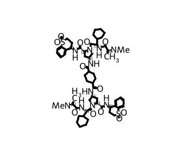 CN[C@@H](C)C(=O)N[C@H](C(=O)N1C[C@@H](NC(=O)C2CCC(C(=O)N[C@H]3C[C@@H](C(=O)N[C@@H]4CCS(=O)(=O)c5ccccc54)N(C(=O)[C@@H](NC(=O)[C@H](C)NC)C4CCCCC4)C3)CC2)C[C@H]1C(=O)N[C@@H]1CCS(=O)(=O)c2ccccc21)C1CCCCC1